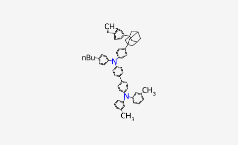 C=Cc1ccc(C23CC4CC(C2)CC(c2ccc(N(c5ccc(CCCC)cc5)c5ccc(-c6ccc(N(c7cccc(C)c7)c7cccc(C)c7)cc6)cc5)cc2)(C4)C3)cc1